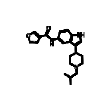 CC(C)CN1CCC(c2c[nH]c3ccc(NC(=O)c4ccoc4)cc23)CC1